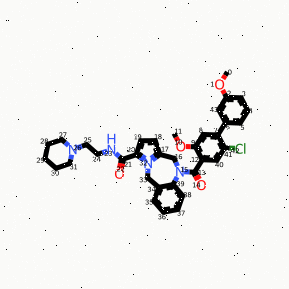 COc1cccc(-c2cc(OC)c(C(=O)N3Cc4ccc(C(=O)NCCN5CCCCC5)n4Cc4ccccc43)cc2Cl)c1